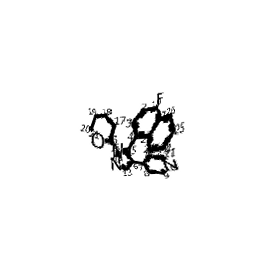 Fc1ccc(-c2c(-c3ccncc3)cnn2C2CCCCO2)c2ccccc12